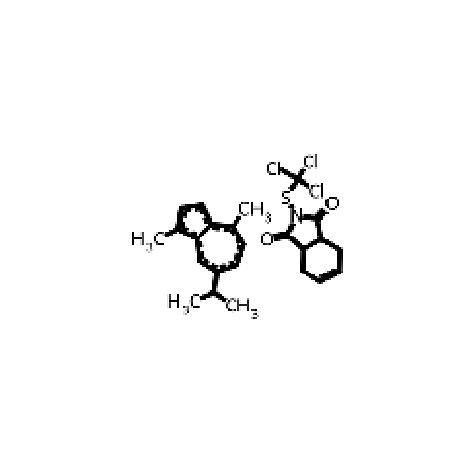 Cc1ccc(C(C)C)cc2c(C)ccc1-2.O=C1C2CC=CCC2C(=O)N1SC(Cl)(Cl)Cl